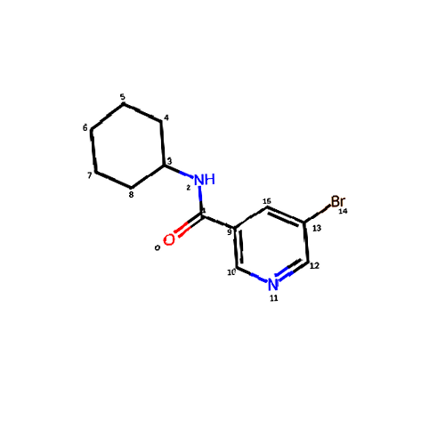 O=C(NC1CCCCC1)c1cncc(Br)c1